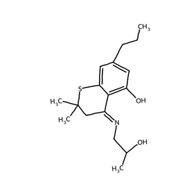 CCCc1cc(O)c2c(c1)SC(C)(C)CC2=NCC(C)O